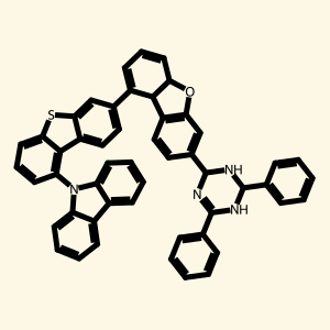 C1=CC2Oc3cc(C4N=C(c5ccccc5)NC(c5ccccc5)N4)ccc3C2C(c2ccc3c(c2)sc2cccc(-n4c5ccccc5c5ccccc54)c23)=C1